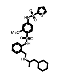 COc1cc(NS(=O)(=O)c2cccs2)ccc1S(=O)(=O)Nc1ccccc1CNC(C)CC1CCCCC1